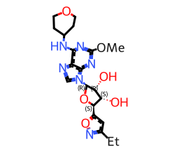 CCc1cc([C@H]2O[C@@H](n3cnc4c(NC5CCOCC5)nc(OC)nc43)[C@H](O)[C@@H]2O)on1